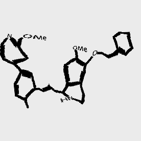 COc1cc(-c2ccc(C)c(/C=C/C3NCCc4cc(OCc5ccccc5)c(OC)cc43)c2)ccn1